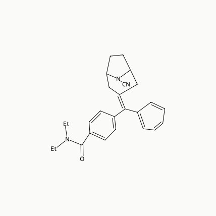 CCN(CC)C(=O)c1ccc(C(=C2CC3CCC(C2)N3C#N)c2ccccc2)cc1